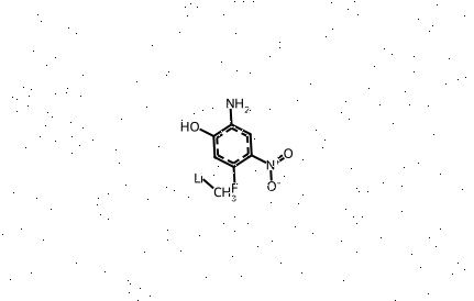 Nc1cc([N+](=O)[O-])c(F)cc1O.[Li][CH3]